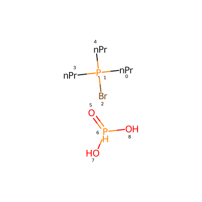 CCC[P](Br)(CCC)CCC.O=[PH](O)O